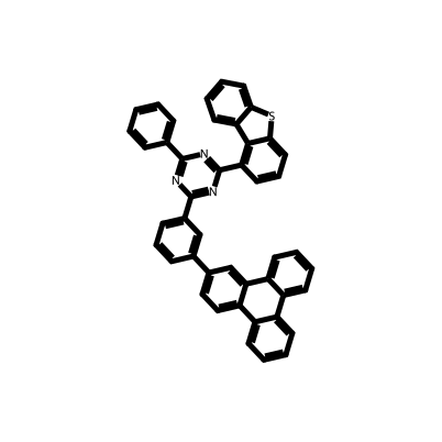 c1ccc(-c2nc(-c3cccc(-c4ccc5c6ccccc6c6ccccc6c5c4)c3)nc(-c3cccc4sc5ccccc5c34)n2)cc1